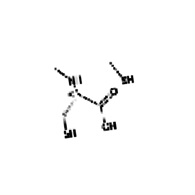 CN[C@@H](CS)C(=O)O.CS